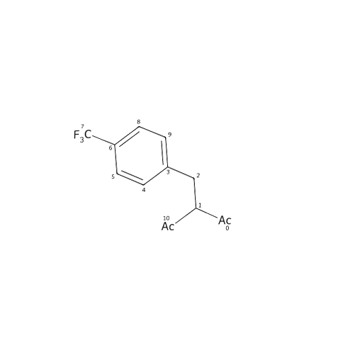 CC(=O)C(Cc1ccc(C(F)(F)F)cc1)C(C)=O